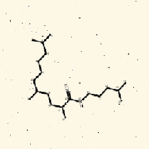 CC(C)CCCCC(C)CCC(C)C(=O)NCCCC(C)C